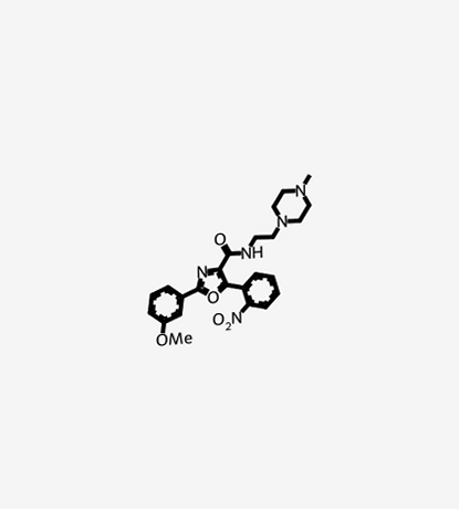 COc1cccc(-c2nc(C(=O)NCCN3CCN(C)CC3)c(-c3ccccc3[N+](=O)[O-])o2)c1